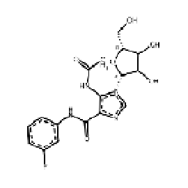 CC(=O)Nc1c(C(=O)Nc2cccc(F)c2)ncn1[C@@H]1O[C@H](CO)C(O)C1O